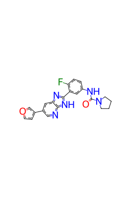 O=C(Nc1ccc(F)c(-c2nc3cc(-c4ccoc4)cnc3[nH]2)c1)N1CCCC1